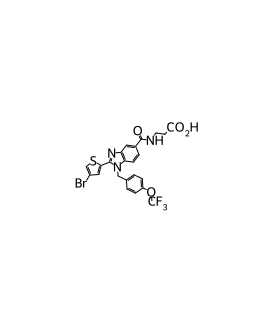 O=C(O)CCNC(=O)c1ccc2c(c1)nc(-c1cc(Br)cs1)n2Cc1ccc(OC(F)(F)F)cc1